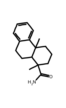 CC1(C(N)=O)CCCC2(C)c3ccccc3CCC12